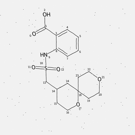 O=C(O)c1ccccc1NS(=O)(=O)CC1CCOC2(CCOCC2)C1